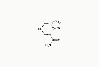 NC(=O)C1CNCc2cccn21